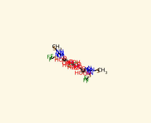 CSCCNc1nc(SCCC(F)(F)F)nc2c1ncn2C1O[C@H](COP(=O)(O)OP(=O)(O)C(Cl)(Cl)P(=O)(O)OP(=O)(O)OC[C@H]2O[C@@H](n3cnc4c(NCCSC)nc(SCCC(F)(F)F)nc43)[C@H](O)[C@@H]2O)[C@@H](O)[C@H]1O